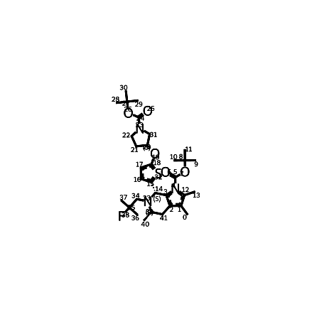 Cc1c2c(n(C(=O)OC(C)(C)C)c1C)[C@@H](c1ccc(O[C@H]3CCN(C(=O)OC(C)(C)C)C3)s1)N(CC(C)(C)F)[C@H](C)C2